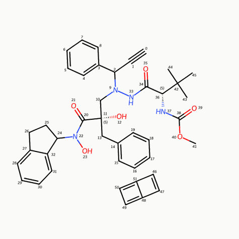 C#CC(c1ccccc1)N(C[C@@](O)(Cc1ccccc1)C(=O)N(O)C1CCc2ccccc21)NC(=O)[C@@H](NC(=O)OC)C(C)(C)C.c1cc2ccc1-2